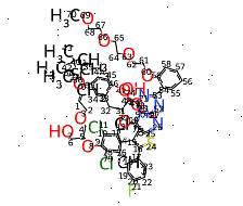 C=CCOCC(CO)Oc1c(Cl)c(C)c(-c2c(-c3ccc(F)cc3)sc3ncnc(OC(Cc4cc(O[Si](C)(C)C(C)(C)C)ccc4OCc4ccnc(-c5ccccc5OCCOCCOCCOC)n4)C(=O)O)c23)c(C)c1Cl